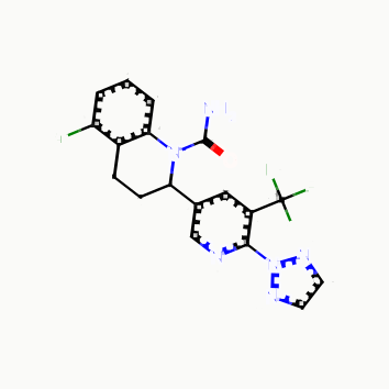 NC(=O)N1c2cccc(Br)c2CCC1c1cnc(-n2nccn2)c(C(F)(F)F)c1